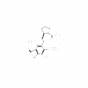 CC[C@H](C(=O)O)[C@@H]1CCCC1=CCc1c(O)c2c(c(C)c1OC)COC2=O